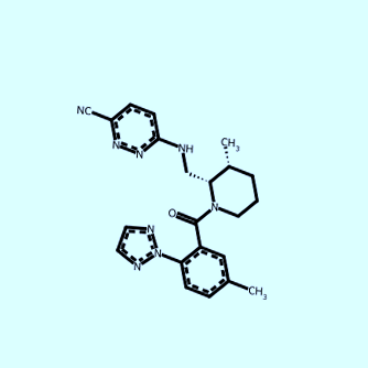 Cc1ccc(-n2nccn2)c(C(=O)N2CCC[C@@H](C)[C@H]2CNc2ccc(C#N)nn2)c1